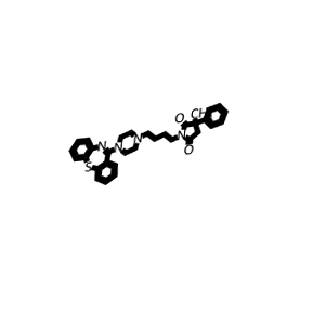 CC1(c2ccccc2)CC(=O)N(CCCCN2CCN(C3=Nc4ccccc4Sc4ccccc43)CC2)C1=O